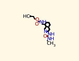 C#CCCOC(=O)NCc1cccc2cc(NC(=O)NCC)ncc12